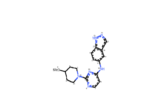 COC1CCN(c2nccc(Nc3ccc4[nH]ncc4c3)n2)CC1